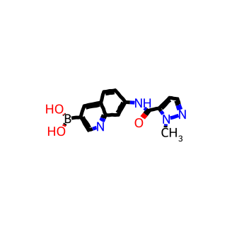 Cn1nccc1C(=O)Nc1ccc2cc(B(O)O)cnc2c1